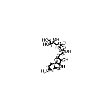 C[C@](O)(CO)C(O)COP(=O)(O)OP(=O)(O)OCC1OC(n2ccc(N)nc2=O)C(O)C1O